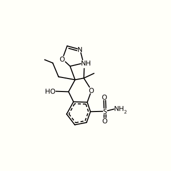 CCCC1(C2NN=CO2)C(O)c2cccc(S(N)(=O)=O)c2OC1(C)C